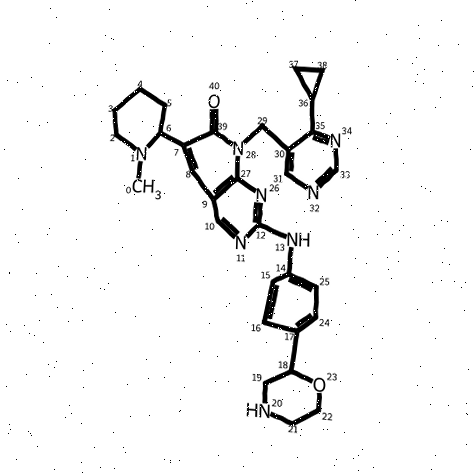 CN1CCCCC1c1cc2cnc(Nc3ccc(C4CNCCO4)cc3)nc2n(Cc2cncnc2C2CC2)c1=O